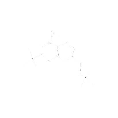 CC(C)(O)CCc1cc(CCC(C)(C)O)c(C(N)=O)cn1